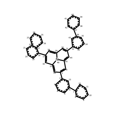 C1=C(c2cccc(-c3ccccc3)c2)C=C2C=C(c3cccc4ccccc34)C=C3C=C(c4cccc(-c5ccccc5)c4)C=C1N23